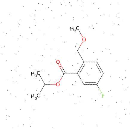 COCc1ccc(F)cc1C(=O)OC(C)C